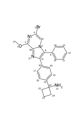 COc1nc(Br)cn2c(-c3ccccc3)c(-c3ccc(C4(N)CCC4)cc3)nc12